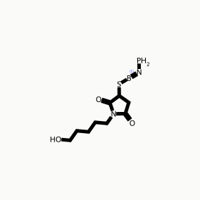 O=C1CC(S/B=N/P)C(=O)N1CCCCCO